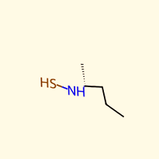 CCC[C@@H](C)NS